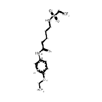 O=C(CCCCNS(=O)(=O)CC(F)(F)F)Nc1ccc(OCC(F)(F)F)nc1